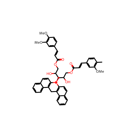 COc1cc(/C=C/C(=O)OCC(O)COc2ccc3ccccc3c2Cc2c(OCC(O)COC(=O)/C=C/c3ccc(OC)c(OC)c3)ccc3ccccc23)ccc1C